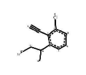 C#Cc1c(Cl)cccc1[C](C)CF